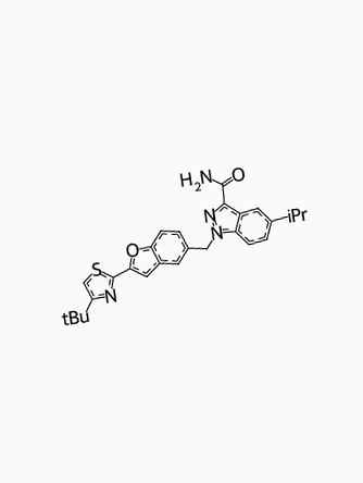 CC(C)c1ccc2c(c1)c(C(N)=O)nn2Cc1ccc2oc(-c3nc(C(C)(C)C)cs3)cc2c1